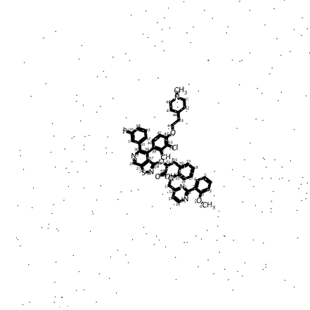 COc1ccccc1-c1nccc(COc2ccccc2CC(Oc2nsc3cnc(-c4cccc(F)c4)c(-c4ccc(OCCC5CCN(C)CC5)c(Cl)c4C)c23)C(=O)O)n1